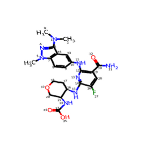 CN(C)c1nn(C)c2ccc(Nc3nc(N[C@@H]4CCOC[C@@H]4NC(=O)O)c(F)cc3C(N)=O)cc12